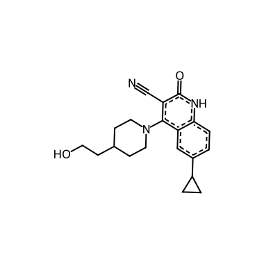 N#Cc1c(N2CCC(CCO)CC2)c2cc(C3CC3)ccc2[nH]c1=O